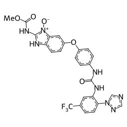 COC(=O)Nc1[nH]c2ccc(Oc3ccc(NC(=O)Nc4cc(C(F)(F)F)ccc4-n4cncn4)cc3)cc2[n+]1[O-]